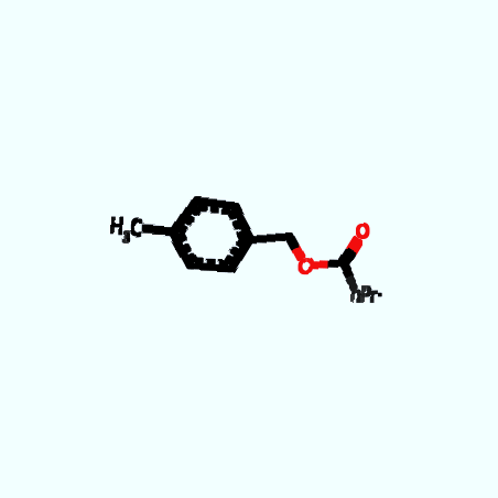 CC[CH]C(=O)OCc1ccc(C)cc1